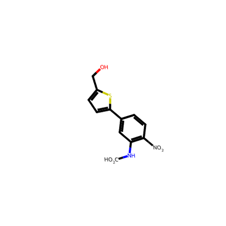 O=C(O)Nc1cc(-c2ccc(CO)s2)ccc1[N+](=O)[O-]